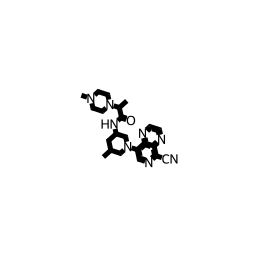 CC1CC(NC(=O)C(C)N2CCN(C)CC2)CN(c2cnc(C#N)c3nccnc23)C1